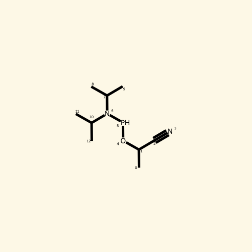 CC(C#N)OPN(C(C)C)C(C)C